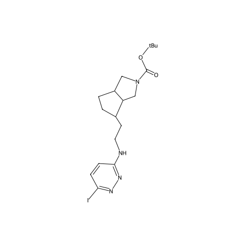 CC(C)(C)OC(=O)N1CC2CCC(CCNc3ccc(I)nn3)C2C1